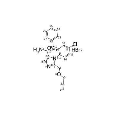 Br.C#CCOCc1nnc(CN)n1-c1ccc(Cl)cc1C(=O)c1ccccc1